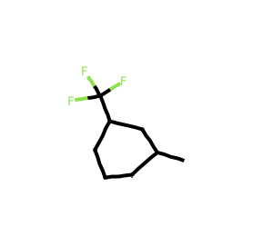 CC1[CH]CCC(C(F)(F)F)C1